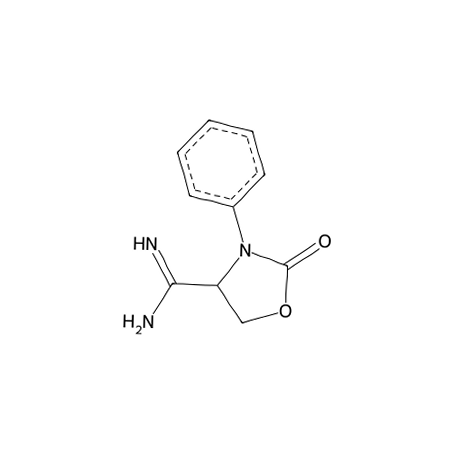 N=C(N)C1COC(=O)N1c1ccccc1